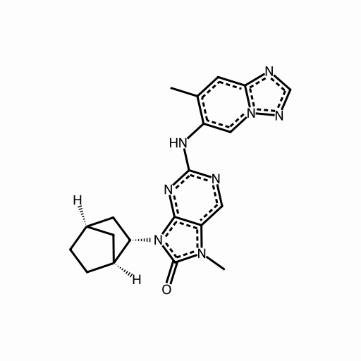 Cc1cc2ncnn2cc1Nc1ncc2c(n1)n([C@H]1C[C@@H]3CC[C@H]1C3)c(=O)n2C